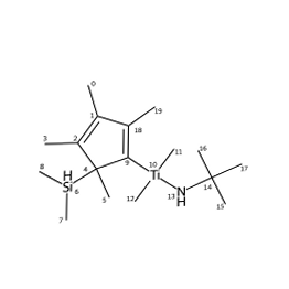 CC1=C(C)C(C)([SiH](C)C)[C]([Ti]([CH3])([CH3])[NH]C(C)(C)C)=C1C